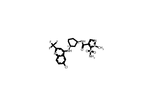 Cn1ncc(C(=O)N[C@@H]2CCC[C@H](Nc3cc(C(F)(F)F)nc4ccc(Cl)cc34)C2)c1S(N)(=O)=O